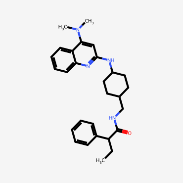 CCC(C(=O)NCC1CCC(Nc2cc(N(C)C)c3ccccc3n2)CC1)c1ccccc1